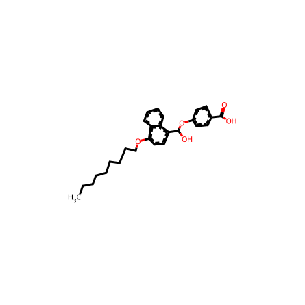 CCCCCCCCCOc1ccc(C(O)Oc2ccc(C(=O)O)cc2)c2ccccc12